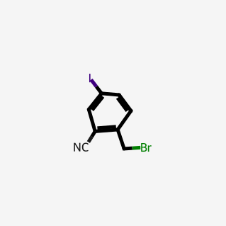 N#Cc1cc(I)ccc1CBr